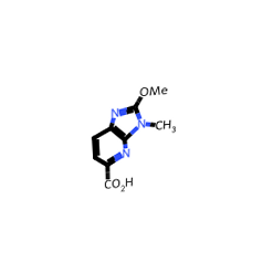 COc1nc2ccc(C(=O)O)nc2n1C